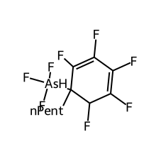 CCCCCC1([AsH](F)(F)F)C(F)=C(F)C(F)=C(F)C1F